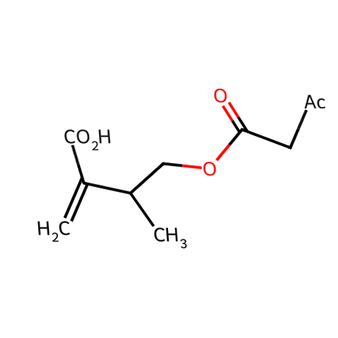 C=C(C(=O)O)C(C)COC(=O)CC(C)=O